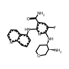 NC(=O)c1cc(F)c(N[C@@H]2CCOC[C@@H]2N)nc1Nc1cccc2ncccc12